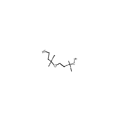 CCCOC(C)(C)CCOC(C)(C)CCS